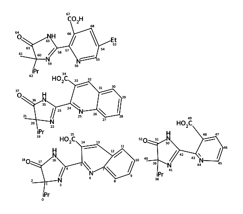 CC(C)C1(C)N=C(c2nc3ccccc3cc2C(=O)O)NC1=O.CC(C)C1(C)N=C(c2nc3ccccc3cc2C(=O)O)NC1=O.CC(C)C1(C)N=C(c2ncccc2C(=O)O)NC1=O.CCc1cnc(C2=NC(C)(C(C)C)C(=O)N2)c(C(=O)O)c1